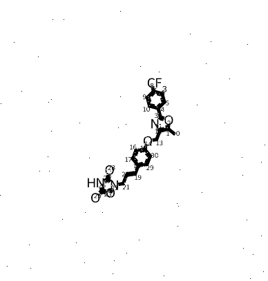 Cc1oc(-c2ccc(C(F)(F)F)cc2)nc1COc1ccc(C=CCn2oc(=O)[nH]c2=O)cc1